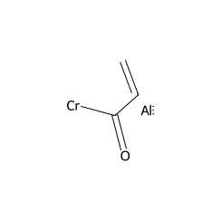 C=C[C](=O)[Cr].[Al]